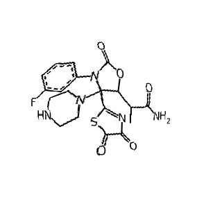 CC(C(N)=O)C1OC(=O)N(c2cccc(F)c2)C1(C1=NC(=O)C(=O)S1)N1CCNCC1